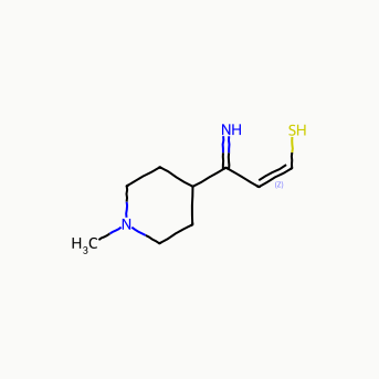 CN1CCC(C(=N)/C=C\S)CC1